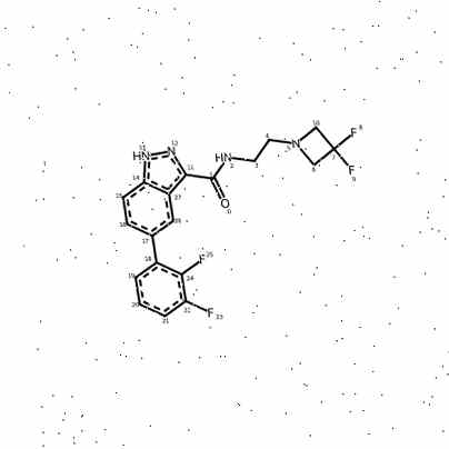 O=C(NCCN1CC(F)(F)C1)c1n[nH]c2ccc(-c3cccc(F)c3F)cc12